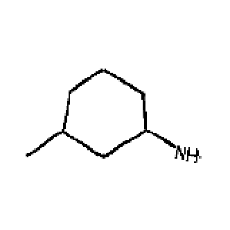 CC1CCCC([NH])C1